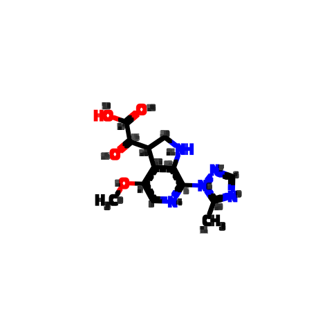 COc1cnc(-n2ncnc2C)c2c1C(C(=O)C(=O)O)CN2